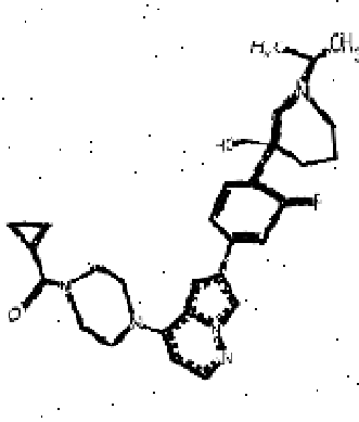 CC(C)N1CCC[C@](O)(C2C=CC(c3cc4c(N5CCN(C(=O)C6CC6)CC5)ccnn4c3)=CC2F)C1